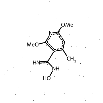 COc1cc(C)c(C(=N)NO)c(OC)n1